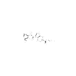 CC(C)(C)OC(=O)N1CCc2c(C(=O)Nc3cccc(C(F)(F)F)c3)csc2C1